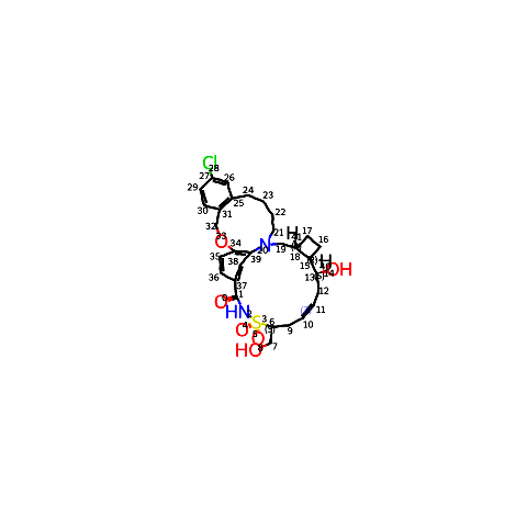 O=C1NS(=O)(=O)[C@H](CO)C/C=C\C[C@H](O)[C@@H]2CC[C@H]2CN2CCCCc3cc(Cl)ccc3COc3ccc1cc32